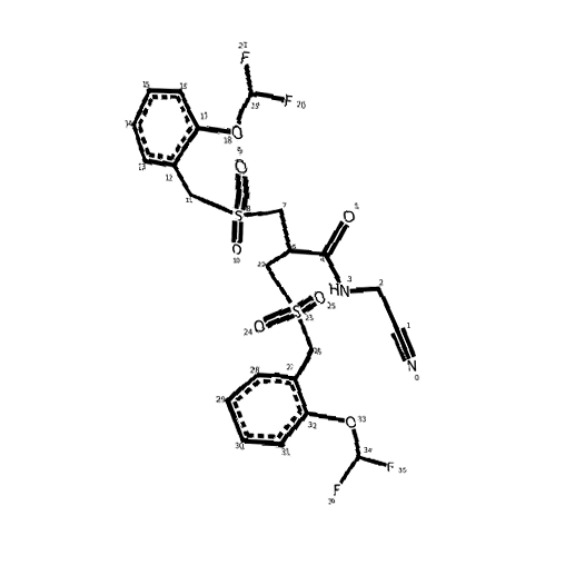 N#CCNC(=O)C(CS(=O)(=O)Cc1ccccc1OC(F)F)CS(=O)(=O)Cc1ccccc1OC(F)F